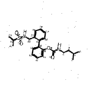 CC(C)CCNC(=O)Oc1ccccc1-c1ccccc1CNS(=O)(=O)C(C)C